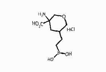 Cl.NC1(C(=O)O)COCC(CCB(O)O)C1